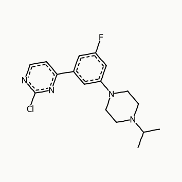 CC(C)N1CCN(c2cc(F)cc(-c3ccnc(Cl)n3)c2)CC1